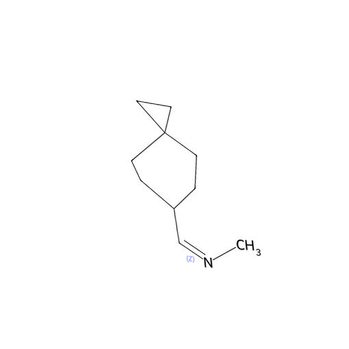 C/N=C\C1CCC2(CC1)CC2